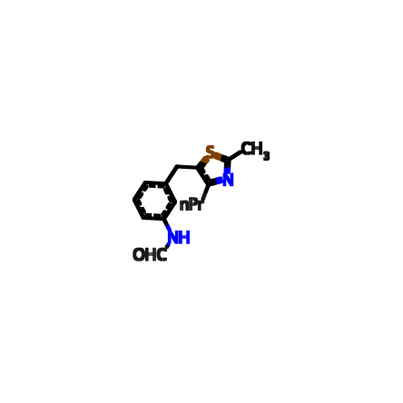 CCCc1nc(C)sc1Cc1cccc(NC=O)c1